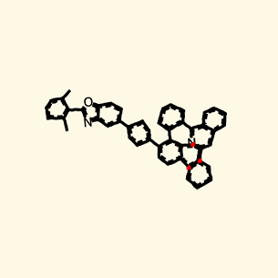 Cc1cccc(C)c1-c1nc2cc(-c3ccc(-c4ccc5ccccc5c4-c4ccccc4-c4nc(-c5ccccc5)cc5ccccc45)cc3)ccc2o1